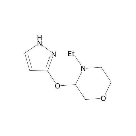 CCN1CCOCC1Oc1cc[nH]n1